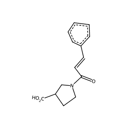 O=C(O)C1CCN(C(=O)C=Cc2ccccc2)C1